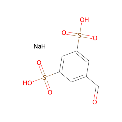 O=Cc1cc(S(=O)(=O)O)cc(S(=O)(=O)O)c1.[NaH]